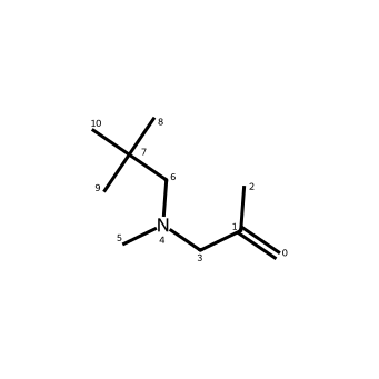 C=C(C)CN(C)CC(C)(C)C